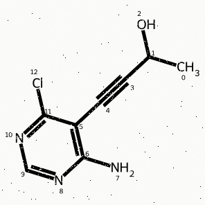 CC(O)C#Cc1c(N)ncnc1Cl